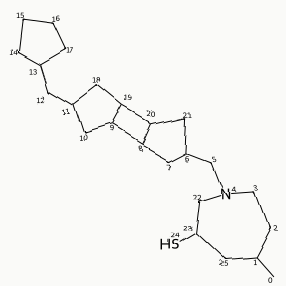 CC1CCN(CC2CC3C4CC(CC5CCCC5)CC4C3C2)CC(S)C1